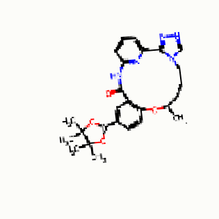 CC1CCCn2cnnc2-c2cccc(n2)NC(=O)c2cc(B3OC(C)(C)C(C)(C)O3)ccc2O1